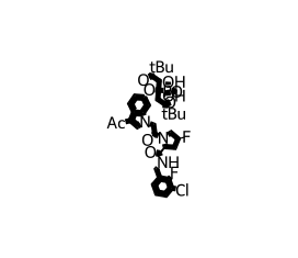 CC(=O)c1cn(CC(=O)N2C[C@H](F)C[C@H]2C(=O)NCc2cccc(Cl)c2F)c2cc(OC(CC(=O)C(C)(C)C)(CC(=O)C(C)(C)C)P(=O)(O)O)ccc12